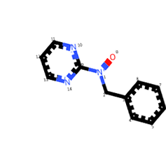 O=[N+]([CH]c1ccccc1)c1ncccn1